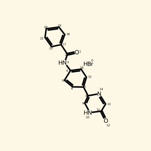 Br.O=C(Nc1ccc(-c2c[nH]c(=O)cn2)cc1)c1ccccc1